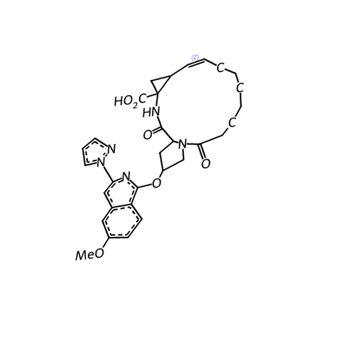 COc1ccc2c(OC3CC4C(=O)NC5(C(=O)O)CC5/C=C\CCCCCCC(=O)N4C3)nc(-n3cccn3)cc2c1